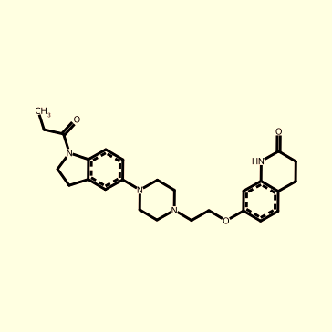 CCC(=O)N1CCc2cc(N3CCN(CCOc4ccc5c(c4)NC(=O)CC5)CC3)ccc21